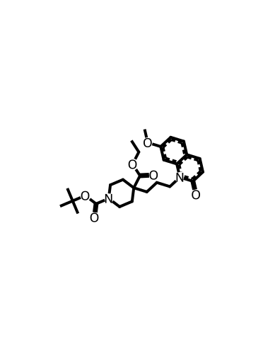 CCOC(=O)C1(CCCn2c(=O)ccc3ccc(OC)cc32)CCN(C(=O)OC(C)(C)C)CC1